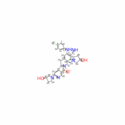 N=CC1=C(Nc2ccc(F)cc2)C=C2CCN([S+]([O-])c3ccc(N4CC[C@@H](O)C4)nc3)C[C@@]2(CN2CC[C@H](O)C2)C1